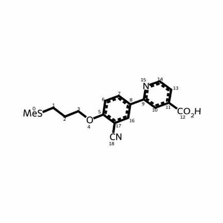 CSCCCOc1ccc(-c2cc(C(=O)O)ccn2)cc1C#N